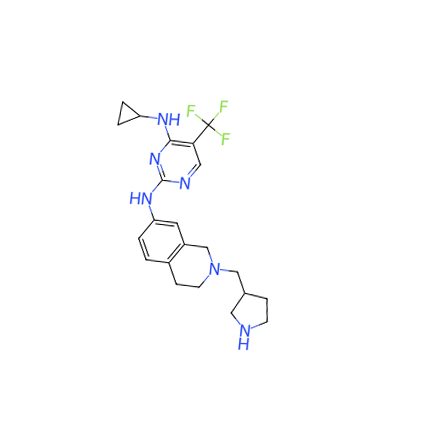 FC(F)(F)c1cnc(Nc2ccc3c(c2)CN(CC2CCNC2)CC3)nc1NC1CC1